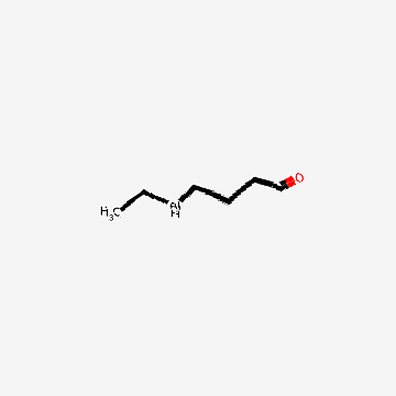 C[CH2][AlH][CH2]CCC=O